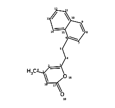 Cc1cc(CCc2cccc3ccccc23)oc(=O)c1